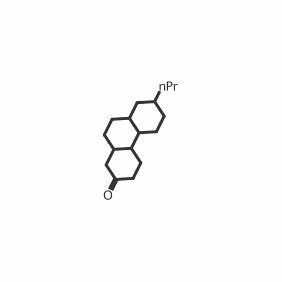 CCCC1CCC2C(CCC3CC(=O)CCC32)C1